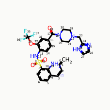 C=C/C=C\c1cccc(S(=O)(=O)Nc2ccc(C(=O)N3CCN(Cc4ncc[nH]4)CC3)cc2OC(F)(F)F)c1N